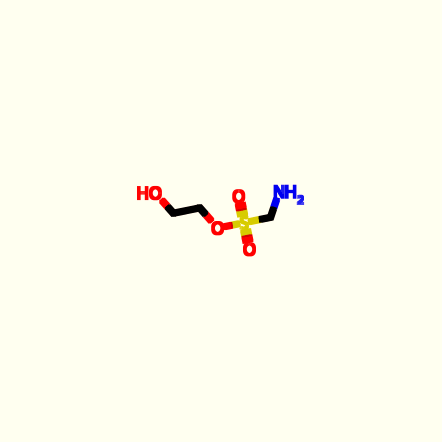 NCS(=O)(=O)OCCO